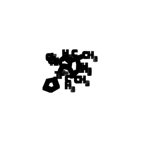 CC(C)(C)c1c[nH][c]([Ti+2][C]2=CC=CC2)c1C(C)(C)C.[Cl-].[Cl-]